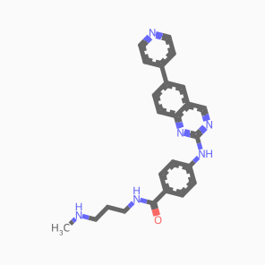 CNCCCNC(=O)c1ccc(Nc2ncc3cc(-c4ccncc4)ccc3n2)cc1